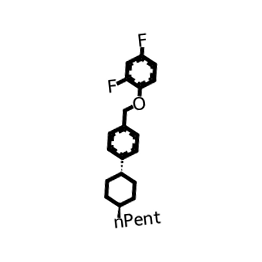 CCCCC[C@H]1CC[C@H](c2ccc(COc3ccc(F)cc3F)cc2)CC1